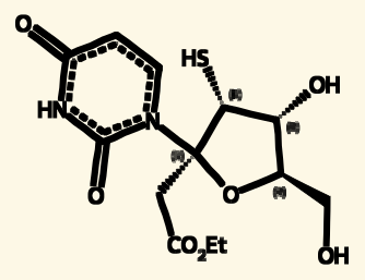 CCOC(=O)C[C@@]1(n2ccc(=O)[nH]c2=O)O[C@H](CO)[C@@H](O)[C@H]1S